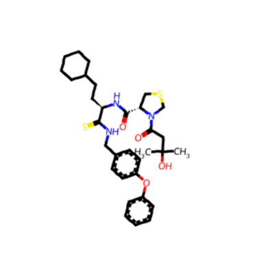 CC(C)(O)CC(=O)N1CSC[C@H]1C(=O)N[C@H](CCC1CCCCC1)C(=S)NCc1ccc(Oc2ccccc2)cc1